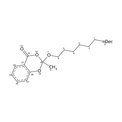 CCCCCCCCCCCCCCCCOC1(C)OC(=O)c2ccccc2O1